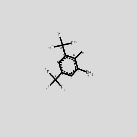 Bc1cc(C(F)(F)F)cc(C(F)(F)F)c1C